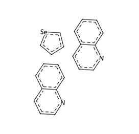 c1cc[se]c1.c1ccc2ncccc2c1.c1ccc2ncccc2c1